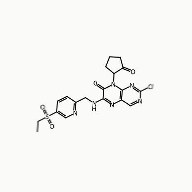 CCS(=O)(=O)c1ccc(CNc2nc3cnc(Cl)nc3n(C3CCCC3=O)c2=O)nc1